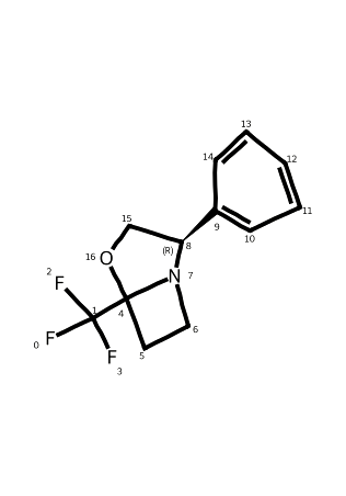 FC(F)(F)C12CCN1[C@H](c1ccccc1)CO2